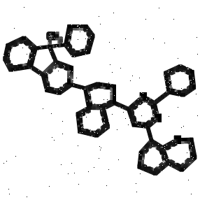 CC1(c2ccccc2)c2ccccc2-c2ccc(-c3ccc(-c4cc(-c5cccc6cccnc56)nc(-c5ccccc5)n4)c4ccccc34)cc21